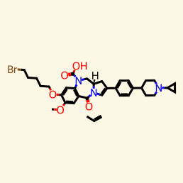 C=CC.COc1cc2c(cc1OCCCCCBr)N(C(=O)O)C[C@@H]1CC(c3ccc(C4CCN(C5CC5)CC4)cc3)=CN1C2=O